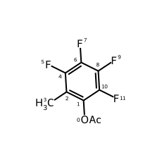 CC(=O)Oc1c(C)c(F)c(F)c(F)c1F